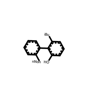 CCCCCCCCCc1ccccc1-c1c(O)cccc1C(C)CC